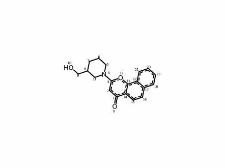 O=c1cc(N2CCCC(CO)C2)oc2c1ccc1ccccc12